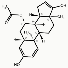 CC(=O)O[C@H]1C[C@@H]2C=C(O)C=C[C@]2(C)[C@H]2CC[C@]3(C)C(O)=CC[C@H]3[C@H]12